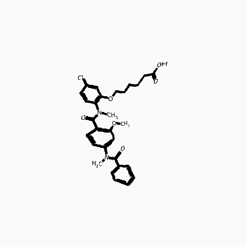 COc1cc(N(C)C(=O)c2ccccc2)ccc1C(=O)N(C)c1ccc(Cl)cc1OCCCCCC(=O)O